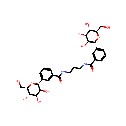 O=C(NCCCNC(=O)c1cccc([C@H]2O[C@H](CO)[C@@H](O)[C@H](O)[C@@H]2O)c1)c1cccc([C@H]2O[C@H](CO)[C@@H](O)[C@H](O)[C@@H]2O)c1